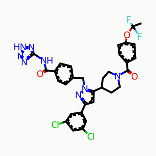 CC(F)(F)Oc1ccc(C(=O)N2CCC(c3cc(-c4cc(Cl)cc(Cl)c4)nn3Cc3ccc(C(=O)Nc4nn[nH]n4)cc3)CC2)cc1